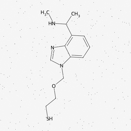 CNC(C)c1cccc2c1ncn2COCCS